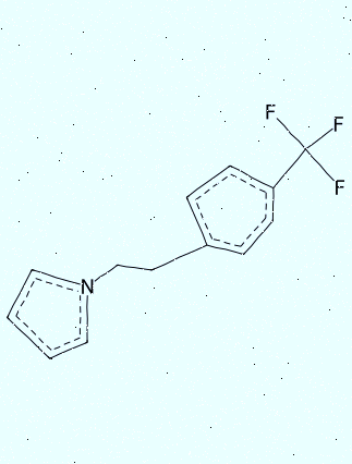 FC(F)(F)c1ccc(CCn2cccc2)cc1